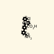 NC(=O)c1cccc(-c2ccc(C(=O)N3[C@@H](c4ccccc4Cl)CC[C@H]3C(=O)O)cc2)c1